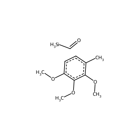 COc1ccc(C)c(OC)c1OC.O=C[SiH3]